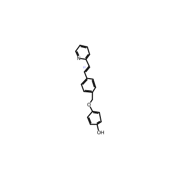 Oc1ccc(OCc2ccc(/C=C/c3ccccn3)cc2)cc1